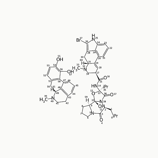 CC(C)C[C@H]1C(=O)N2CCC[C@H]2[C@]2(O)O[C@](NC(=O)[C@@H]3C=C4c5cccc6[nH]c(Br)c(c56)C[C@H]4N(C)C3)(C(C)C)C(=O)N12.CN1CCc2cccc3c2[C@H]1Cc1ccc(O)c(O)c1-3